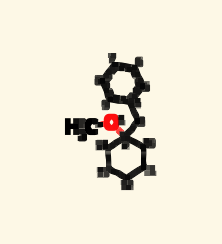 COC1(Cc2ccccc2)CCCCC1